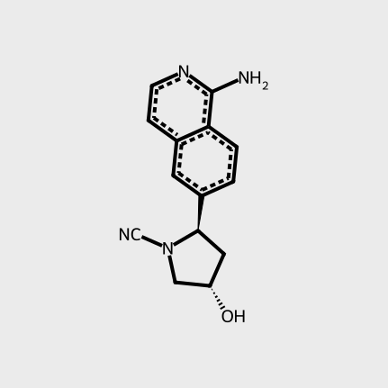 N#CN1C[C@@H](O)C[C@@H]1c1ccc2c(N)nccc2c1